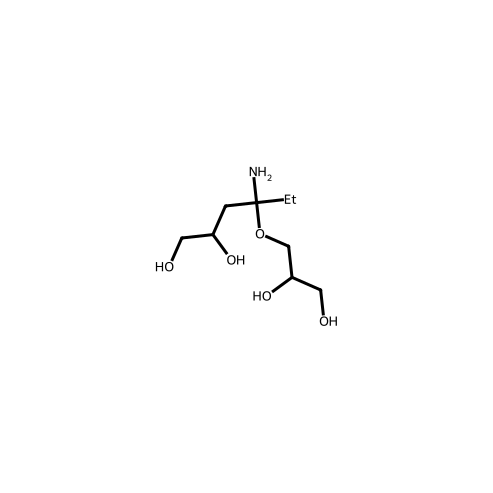 CCC(N)(CC(O)CO)OCC(O)CO